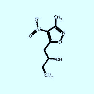 CCC(O)Cc1onc(C)c1[N+](=O)[O-]